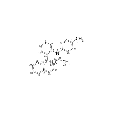 Cc1ccc(N(c2ccccc2-c2cccc3ccccc23)C(C)C)cc1